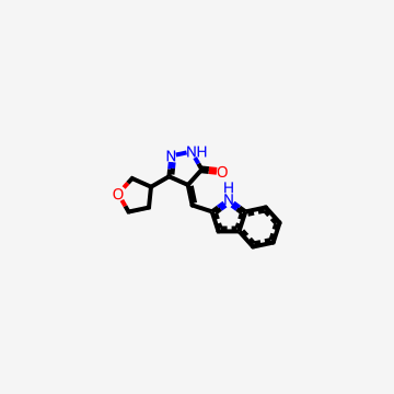 O=C1NN=C(C2CCOC2)C1=Cc1cc2ccccc2[nH]1